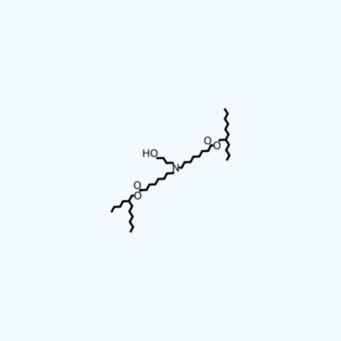 CCCCCCC(CCCC)COC(=O)CCCCCCCN(CCCCO)CCCCCCCC(=O)OCC(CCCC)CCCCCC